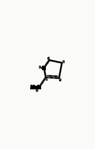 CNC1=CCC[N]1